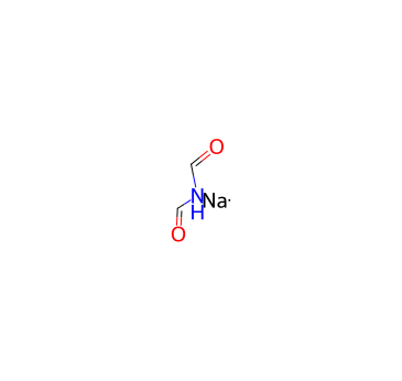 O=CNC=O.[Na]